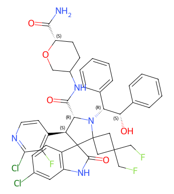 NC(=O)[C@@H]1CCC(NC(=O)[C@H]2[C@H](c3ccnc(Cl)c3F)C3(C(=O)Nc4cc(Cl)ccc43)C3(CC(CF)(CF)C3)N2[C@H](c2ccccc2)[C@@H](O)c2ccccc2)CO1